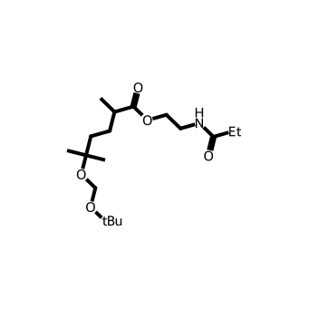 CCC(=O)NCCOC(=O)C(C)CCC(C)(C)OCOC(C)(C)C